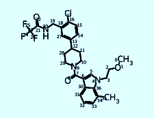 COCCn1cc(C(=O)N2CCC(c3ccc(Cl)c(CNC(=O)C(F)(F)F)c3)CC2)c2cccc(C)c21